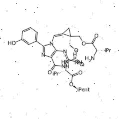 CCC[C@H](C)OC(=O)[C@@H](N[PH](=O)OC[C@@]1(COC(=O)[C@@H](N)C(C)C)C/C1=C/n1c(-c2cccc(O)c2)nc2c(=O)[nH]c(N)nc21)C(C)C